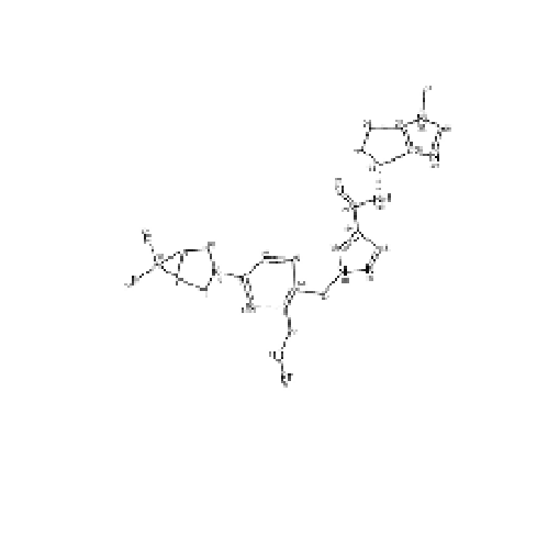 CCOCc1nc(N2CC3C(C2)C3(F)F)ccc1Cn1cc(C(=O)N[C@@H]2CCc3c2ncn3C)cn1